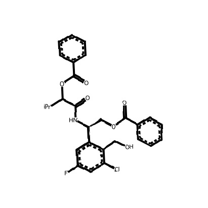 CC(C)C(OC(=O)c1ccccc1)C(=O)N[C@@H](COC(=O)c1ccccc1)c1cc(F)cc(Cl)c1CO